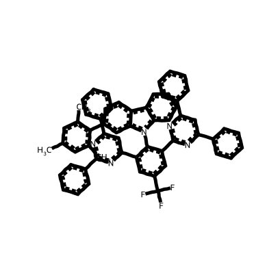 Cc1cc(C)c(-c2ccc3c4ccccc4n(-c4c(-c5cc(-c6ccccc6)nc(-c6ccccc6)n5)cc(C(F)(F)F)cc4-c4nc(-c5ccccc5)cc(-c5ccccc5)n4)c3c2)c(C)c1